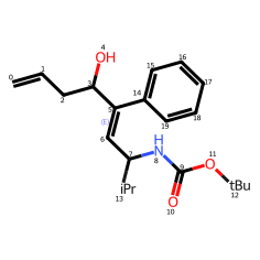 C=CCC(O)/C(=C/C(NC(=O)OC(C)(C)C)C(C)C)c1ccccc1